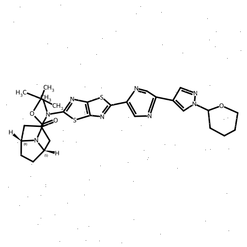 CN(c1nc2sc(-c3cnc(-c4cnn(C5CCCCO5)c4)cn3)nc2s1)C1C[C@H]2CC[C@@H](C1)N2C(=O)OC(C)(C)C